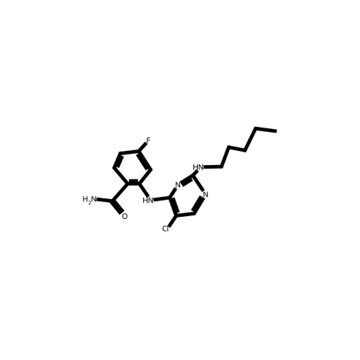 CCCCCNc1ncc(Cl)c(Nc2cc(F)ccc2C(N)=O)n1